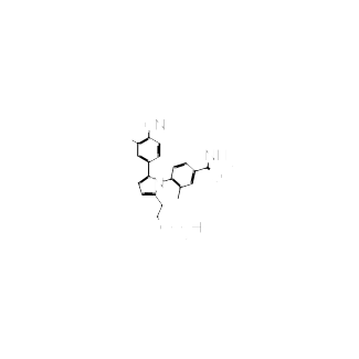 Cc1cc(C(N)=O)ccc1-n1c(CCC(=O)O)ccc1-c1ccc(C#N)c(F)c1